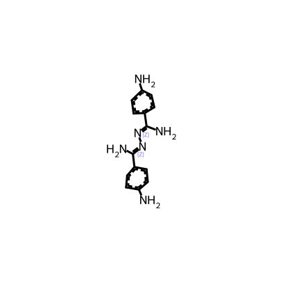 N/C(=N\N=C(/N)c1ccc(N)cc1)c1ccc(N)cc1